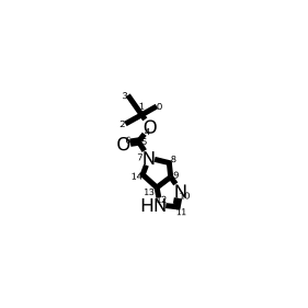 CC(C)(C)OC(=O)N1CC2N=CNC2C1